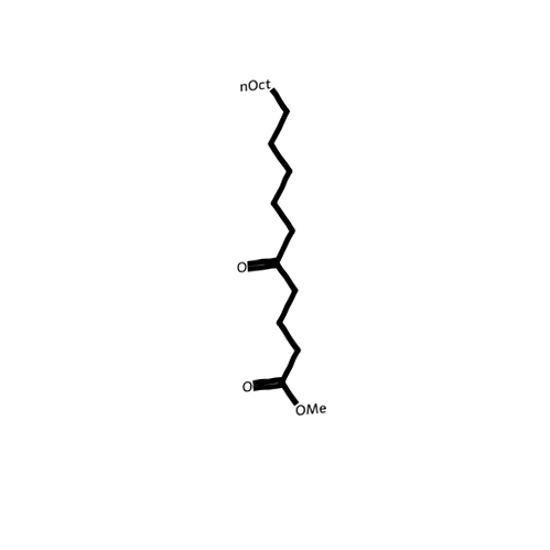 CCCCCCCCCCCCCC(=O)CCCC(=O)OC